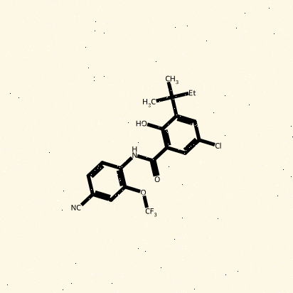 CCC(C)(C)c1cc(Cl)cc(C(=O)Nc2ccc(C#N)cc2OC(F)(F)F)c1O